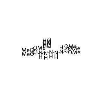 COc1cc(CNCCNCCNCCNCCNCc2cc(OC)c(OC)c(OC)c2)cc(OC)c1OC.Cl.Cl.Cl.Cl.Cl